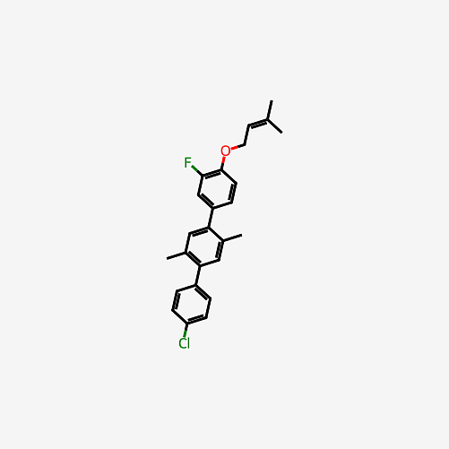 CC(C)=CCOc1ccc(-c2cc(C)c(-c3ccc(Cl)cc3)cc2C)cc1F